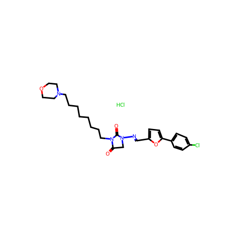 Cl.O=C1CN(/N=C/c2ccc(-c3ccc(Cl)cc3)o2)C(=O)N1CCCCCCCCN1CCOCC1